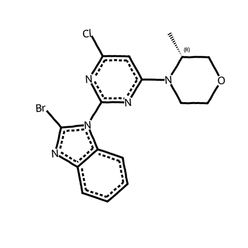 C[C@@H]1COCCN1c1cc(Cl)nc(-n2c(Br)nc3ccccc32)n1